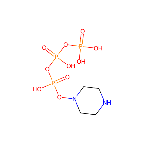 O=P(O)(O)OP(=O)(O)OP(=O)(O)ON1CCNCC1